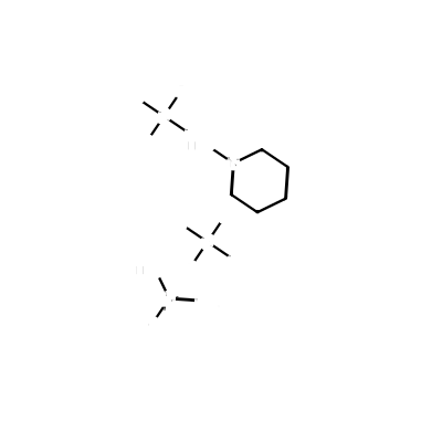 C[NH+](C)C.C[NH+]1CCCCC1.F[B-](F)(F)F.F[B-](F)(F)F